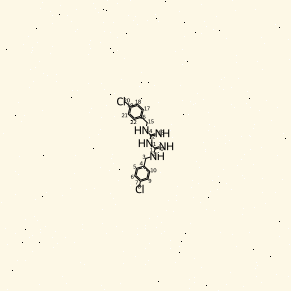 N=C(NCc1ccc(Cl)cc1)NC(=N)NCc1ccc(Cl)cc1